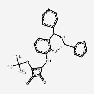 C[C@H](NC(c1ccccc1)c1cccc(Nc2c(OC(C)(C)C)c(=O)c2=O)c1)c1ccccc1